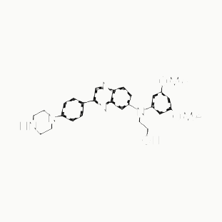 COc1cc(OC)cc(N(CCO)c2ccc3ncc(-c4ccc(N5CCNCC5)cc4)nc3c2)c1